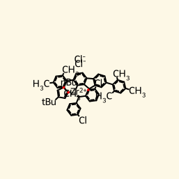 CCCCC1C=C(C(C)(C)C)C=[C]1[Zr+2](=[C](c1cccc(Cl)c1)c1cccc(Cl)c1)[c]1c(-c2c(C)cc(C)cc2C)ccc2c1Cc1cc(-c3c(C)cc(C)cc3C)ccc1-2.[Cl-].[Cl-]